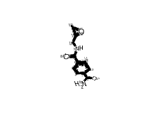 NC(=O)c1ccc(C(=O)NCC2CO2)cc1